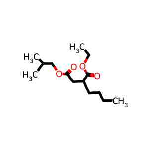 CCCCC(CC(=O)OCC(C)C)C(=O)OCC